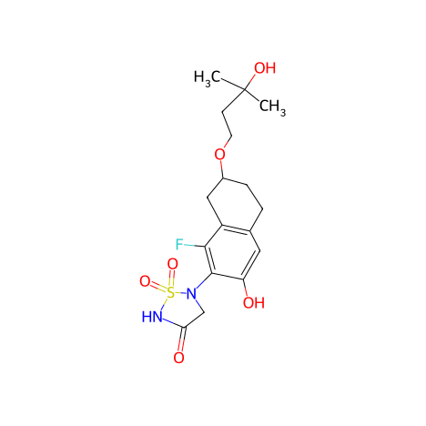 CC(C)(O)CCOC1CCc2cc(O)c(N3CC(=O)NS3(=O)=O)c(F)c2C1